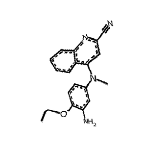 CCOc1ccc(N(C)c2cc(C#N)nc3ccccc23)cc1N